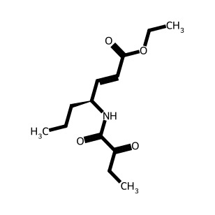 CCC[C@@H](/C=C/C(=O)OCC)NC(=O)C(=O)CC